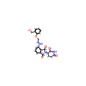 O=[C]c1ccccc1OCCNc1cccc2c1C(=O)N(C1CCC(=O)NC1=O)C2=O